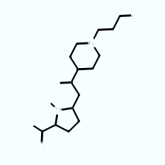 CCCCN1CCC(C(C)CC2CCC(C(C)C)N2C)CC1